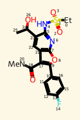 CCS(=O)(=O)Nc1nc2oc(-c3ccc(F)cc3)c(C(=O)NC)c2cc1C(C)O